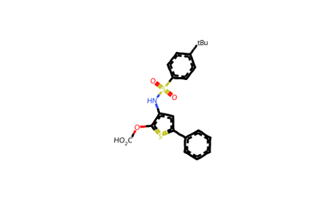 CC(C)(C)c1ccc(S(=O)(=O)Nc2cc(-c3ccccc3)sc2OC(=O)O)cc1